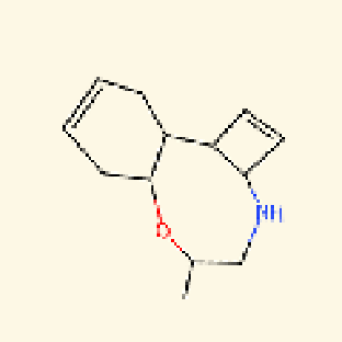 CC1CNC2C=CC2C2CC=CCC2O1